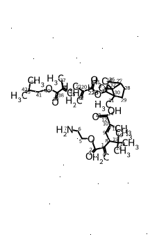 C=C(C(=O)OCCN)C(C=C(C)C(=O)O)C(C)(C)C.C=C(C)C(=O)OC1CC2CCC1(C)C2(C)C.C=C(C)C(=O)OCC(C)C